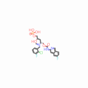 CN(Cc1cccc(F)c1Cl)[C@@H](COC(=O)Nc1cc2cc(F)ccc2cn1)C[C@@H](O)COP(=O)(O)O